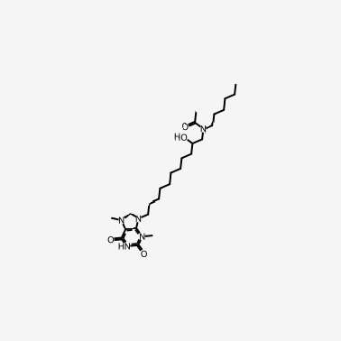 CCCCCCN(CC(O)CCCCCCCCCN1CN(C)c2c1n(C)c(=O)[nH]c2=O)C(C)=O